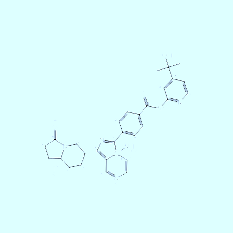 CC(C)(O)c1ccnc(NC(=O)c2ccc(C3=NC([C@@H]4CC[C@H]5CCC(=O)N5C4)=C4C=NC=C[N+]34N)cc2)c1